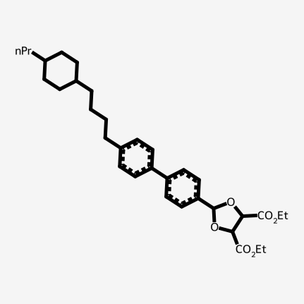 CCCC1CCC(CCCCc2ccc(-c3ccc(C4OC(C(=O)OCC)C(C(=O)OCC)O4)cc3)cc2)CC1